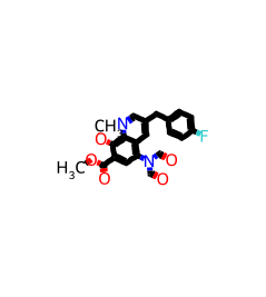 COC(=O)c1cc(N(C=O)C=O)c2cc(Cc3ccc(F)cc3)cnc2c1OC